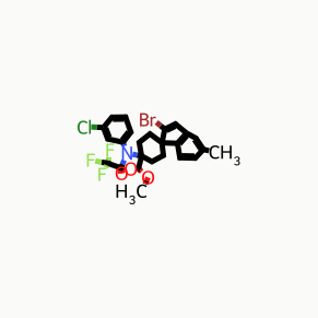 COC(=O)C1(N(C(=O)C(F)(F)F)c2cccc(Cl)c2)CCC2(CC1)C(Br)=Cc1cc(C)ccc12